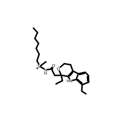 CCCCCCC[Si](C)(C)NC(=O)CC1(CC)OCCc2c1[nH]c1c(CC)cccc21